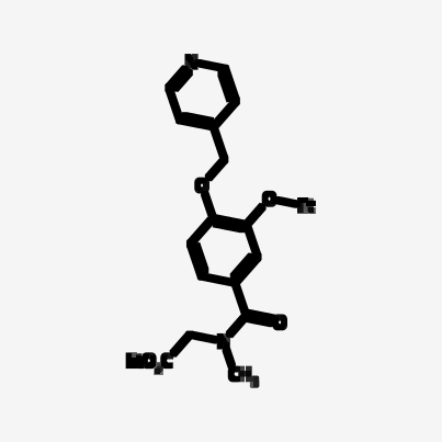 CCOC(=O)CN(C)C(=O)c1ccc(OCc2ccncc2)c(OCC)c1